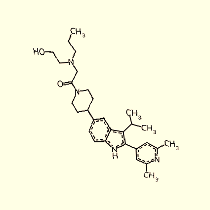 CCCN(CCO)CC(=O)N1CCC(c2ccc3[nH]c(-c4cc(C)nc(C)c4)c(C(C)C)c3c2)CC1